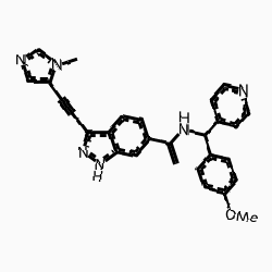 C=C(NC(c1ccncc1)c1ccc(OC)cc1)c1ccc2c(C#Cc3cncn3C)n[nH]c2c1